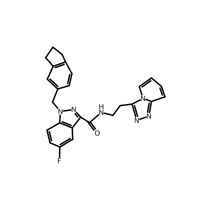 O=C(NCCc1nnc2ccccn12)c1nn(Cc2ccc3c(c2)CCC3)c2ccc(F)cc12